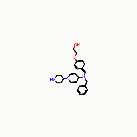 OCCOC1=CCC(=CN(Cc2ccccc2)C2CCN(C3CCNCC3)CC2)C=C1